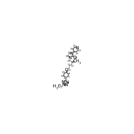 CCn1nnc(-c2ccc(OCCCC(C)CN3CCN(c4ccncc4)C3=O)cc2)n1